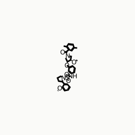 COc1ccccc1C1CCCN1S(=O)(=O)Nc1cccc(O[C@@H]2CN(C(=O)c3cc(C)ccc3C)C[C@H]2OC)c1